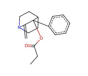 C=C1N2CCC(CC2)C1(OC(=O)CC)c1ccccc1